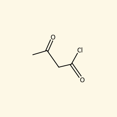 CC(=O)CC(=O)Cl